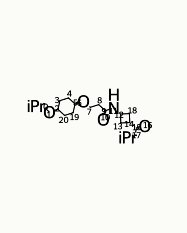 CC(C)O[C@H]1CC[C@@H](OCCC(=O)N[C@H]2C[C@@H](C(=O)C(C)C)C2)CC1